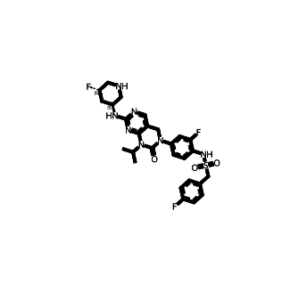 CC(C)N1C(=O)N(c2ccc(NS(=O)(=O)Cc3ccc(F)cc3)c(F)c2)Cc2cnc(N[C@@H]3CNC[C@@H](F)C3)nc21